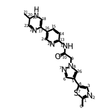 Cc1ncc(-c2cnn(CC(=O)Nc3ccc(C4=CNC(C)C=N4)cn3)c2)s1